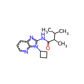 CC(C)C(C)C(=O)Nc1nc2cccnc2n1C1CCC1